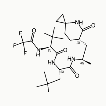 C[C@H](C[C@@H]1CCC2(CC2)NC1=O)NC(=O)[C@H](CC(C)(C)C)NC(=O)[C@@H](NC(=O)C(F)(F)F)C(C)(C)C